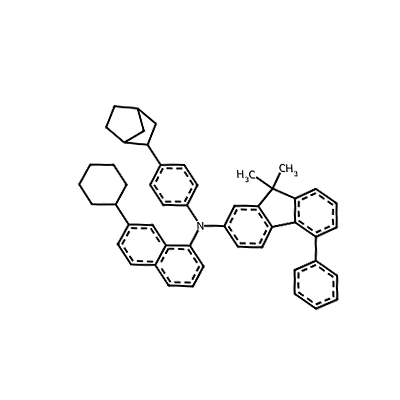 CC1(C)c2cc(N(c3ccc(C4CC5CCC4C5)cc3)c3cccc4ccc(C5CCCCC5)cc34)ccc2-c2c(-c3ccccc3)cccc21